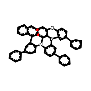 c1ccc(-c2ccc3c(c2)B2c4cc(-c5ccccc5)ccc4N(c4ccc(-c5ccccc5)cc4-c4cccc5ccccc45)c4cccc(c42)O3)cc1